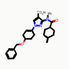 CC1CCC(C(=O)N(c2nn(C3=CCC(OCc4ccccc4)CC3)cc2C(=O)O)C(C)C)CC1